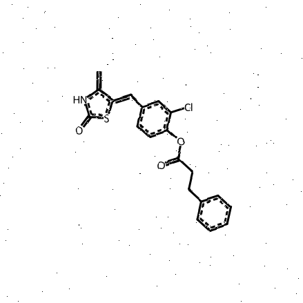 C=c1[nH]c(=O)s/c1=C\c1ccc(OC(=O)CCc2ccccc2)c(Cl)c1